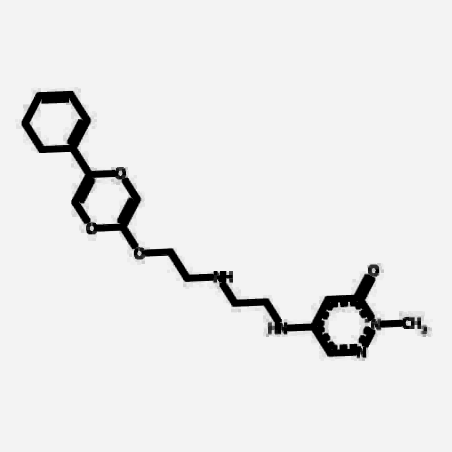 Cn1ncc(NCCNCCOC2=COC(C3=CC=CCC3)=CO2)cc1=O